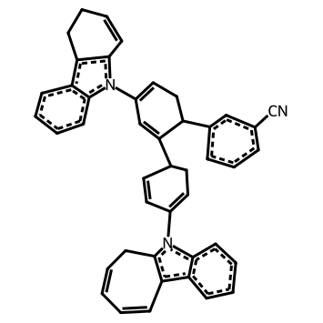 N#Cc1cccc(C2CC=C(n3c4c(c5ccccc53)CCC=C4)C=C2C2C=CC(n3c4c(c5ccccc53)C=CC=CC4)=CC2)c1